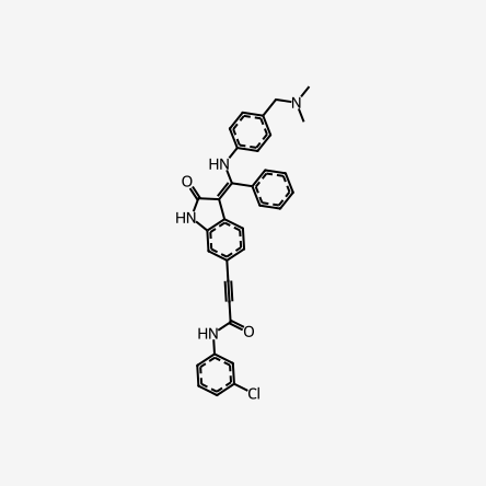 CN(C)Cc1ccc(N/C(=C2\C(=O)Nc3cc(C#CC(=O)Nc4cccc(Cl)c4)ccc32)c2ccccc2)cc1